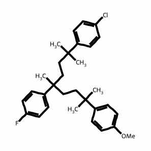 COc1ccc(C(C)(C)CCC(C)(CCC(C)(C)c2ccc(Cl)cc2)c2ccc(F)cc2)cc1